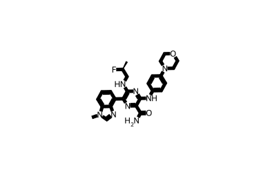 C[C@H](F)CNc1nc(Nc2ccc(N3CCOCC3)cc2)c(C(N)=O)nc1-c1cccc2c1ncn2C